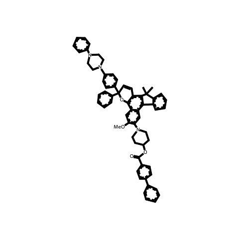 COc1cc2c3c(c4c(c2cc1N1CCC(OC(=O)c2ccc(-c5ccccc5)cc2)CC1)-c1ccccc1C4(C)C)C=CC(c1ccccc1)(c1ccc(N2CCN(c4ccccc4)CC2)cc1)O3